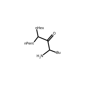 CCCCCCC(CCCCC)C(=O)C(N)C(C)CC